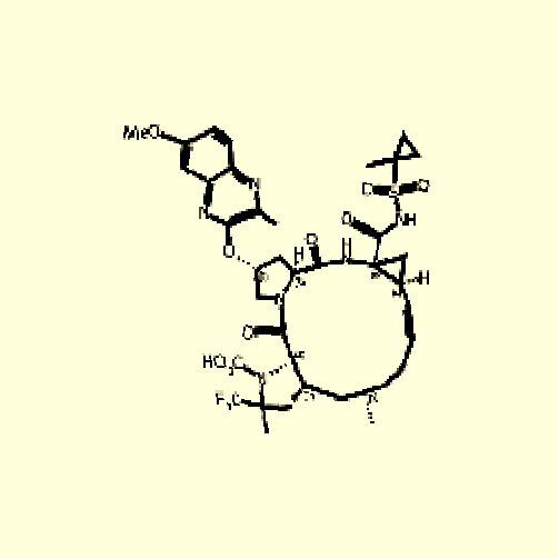 COc1ccc2nc(C)c(O[C@@H]3C[C@H]4C(=O)N[C@]5(C(=O)NS(=O)(=O)C6(C)CC6)C[C@H]5C=CCC[C@H](C)C[C@@H](C)[C@H](N(C(=O)O)C(C)(C)C(F)(F)F)C(=O)N4C3)nc2c1